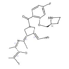 CCC\C=C1/CN(C(=O)c2ccc(F)cc2OC[C@@H]2CCN2)C/C1=C(C)\N=C(C)/C(Cl)=C(\C)I